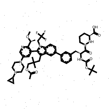 CO[C@@H](C)c1ncc(N2CCN(C3CC3)CC2)cc1-c1c(CC(C)(C)COC(C)=O)c2cc(-c3cccc(C[C@H](NC(=O)OC(C)(C)C)C(=O)N4CCC[C@@H](C(=O)O)N4)c3)ccc2n1CC(F)(F)F